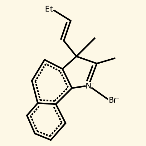 CCC=CC1(C)C(C)=[N+](C)c2c1ccc1ccccc21.[Br-]